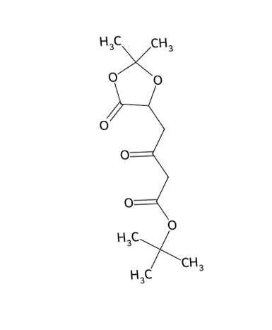 CC(C)(C)OC(=O)CC(=O)CC1OC(C)(C)OC1=O